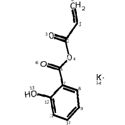 C=CC(=O)OC(=O)c1ccccc1O.[K]